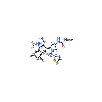 CNC(=O)NC1CC2=C(/C(C=N)=C/NC(F)F)[C@H](c3ccc(F)cc3Cl)N=C(c3nccs3)N2C1